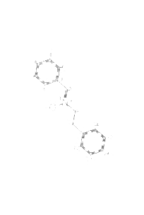 [O-][N+](=Cc1ccccc1)CCc1ccccc1